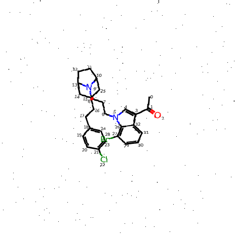 CC(=O)c1cn(CCCN2C3CCC2CC(CCc2ccc(Cl)cc2)C3)c2c(Br)cccc12